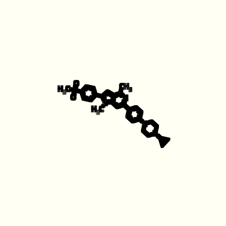 Cc1nc(-c2ccc(N3CCN(C4CC4)CC3)cc2)cc2c1cc(-c1ccc(S(C)(=O)=O)cc1)n2C